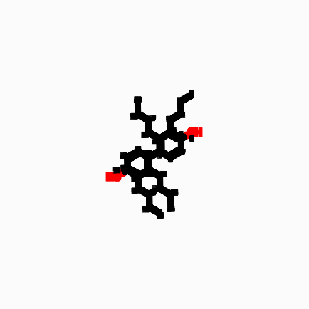 CCCCc1c(O)ccc(-c2ccc(O)c(CCCC)c2CCCC)c1CCCC